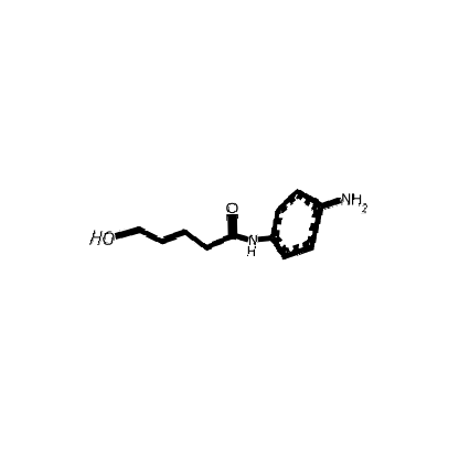 Nc1ccc(NC(=O)CCCCO)cc1